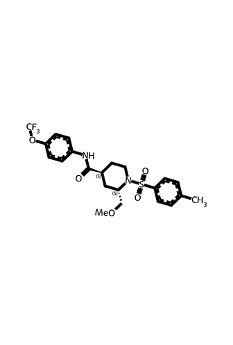 COC[C@@H]1C[C@@H](C(=O)Nc2ccc(OC(F)(F)F)cc2)CCN1S(=O)(=O)c1ccc(C)cc1